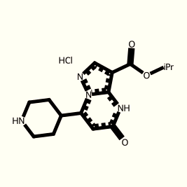 CC(C)OC(=O)c1cnn2c(C3CCNCC3)cc(=O)[nH]c12.Cl